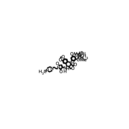 COc1cc([C@@H]2c3cc4c(cc3[C@@H](NC3=CC(=O)N(CCN5CCN(C)CC5)C3=O)[C@H]3COC(=O)[C@H]23)OCO4)cc(OC)c1O[Si](C)(C)C(C)(C)C